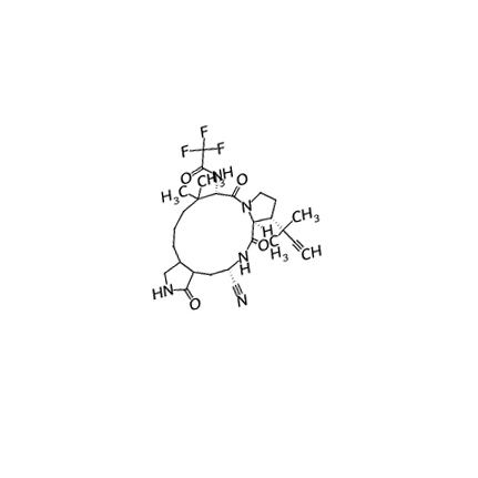 C#CC(C)(C)[C@H]1CCN2C(=O)[C@@H](NC(=O)C(F)(F)F)C(C)(C)CCCC3CNC(=O)C3C[C@@H](C#N)NC(=O)[C@H]12